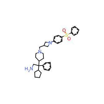 NCC(c1ccccc1)(C1CCCC1)C1CCN(CC2CN(c3ccc(S(=O)(=O)c4ccccc4)cc3)C2)CC1